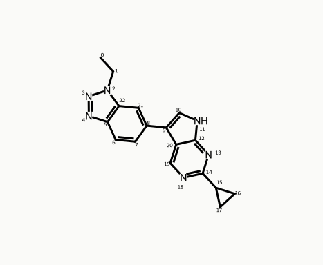 CCn1nnc2ccc(-c3c[nH]c4nc(C5CC5)ncc34)cc21